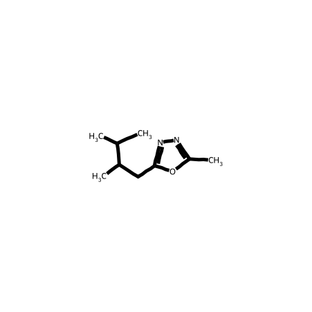 Cc1nnc(CC(C)C(C)C)o1